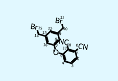 N#Cc1cccc(Oc2cc(CBr)cc(CBr)c2)c1C#N